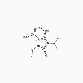 CCn1c(=O)n(C(C)C)c2ncnc(N)c21